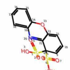 O=S(=O)(O)C1(S(=O)(=O)O)C=CC=C2Oc3ccccc3N=C21